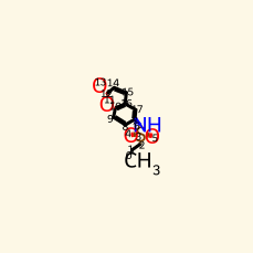 CCCS(=O)(=O)Nc1ccc2oc(=O)ccc2c1